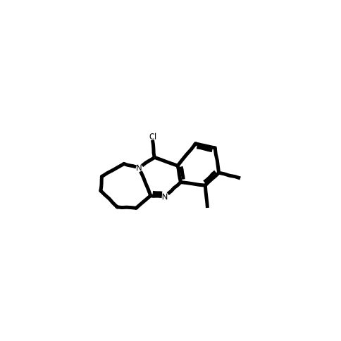 Cc1ccc2c(c1C)N=C1CCCCCN1C2Cl